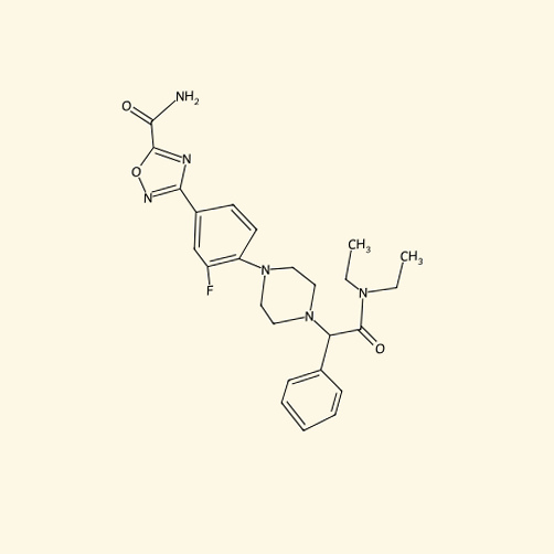 CCN(CC)C(=O)C(c1ccccc1)N1CCN(c2ccc(-c3noc(C(N)=O)n3)cc2F)CC1